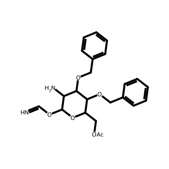 CC(=O)OCC1OC(OC=N)C(N)C(OCc2ccccc2)C1OCc1ccccc1